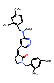 COc1ccc(CN2CCC(=Cc3cnnc(N(Cc4ccc(OC)cc4OC)C(=O)O)c3)C2=O)c(OC)c1